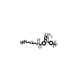 Cn1cc2c3cc(C(=O)NCCCOCCCN=[N+]=[N-])ccc3n(-c3ccc(C(F)(F)F)cc3)c2n1